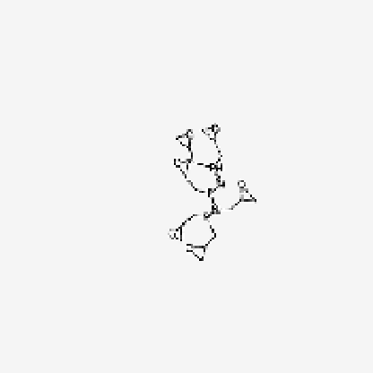 C1OC1CN(P(CC1CO1)CC1CO1)P(CC1CO1)N=[PH](CC1CO1)CC1CO1